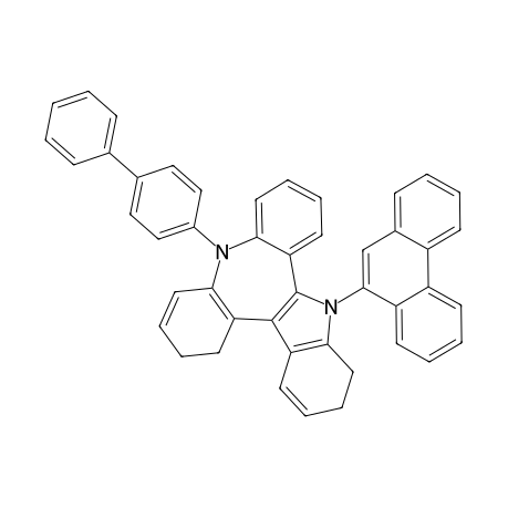 C1=CC2=C(CC1)c1c3c(n(-c4cc5ccccc5c5ccccc45)c1-c1ccccc1N2c1ccc(-c2ccccc2)cc1)CCC=C3